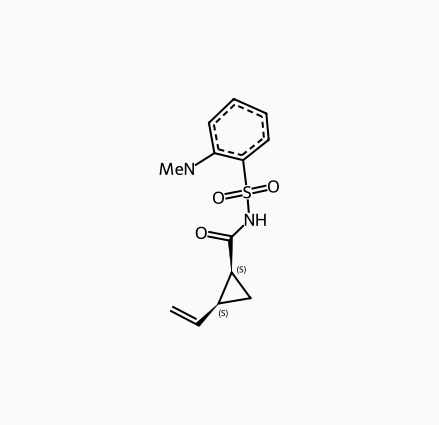 C=C[C@@H]1C[C@@H]1C(=O)NS(=O)(=O)c1ccccc1NC